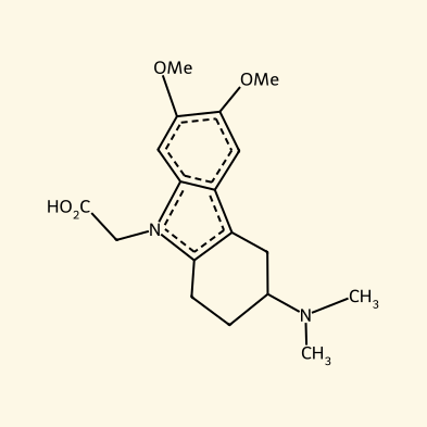 COc1cc2c3c(n(CC(=O)O)c2cc1OC)CCC(N(C)C)C3